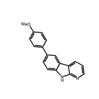 COc1ccc(-c2ccc3[nH]c4ncccc4c3c2)cc1